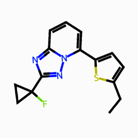 CCc1ccc(-c2cccc3nc(C4(F)CC4)nn23)s1